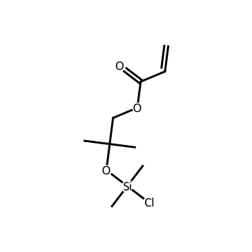 C=CC(=O)OCC(C)(C)O[Si](C)(C)Cl